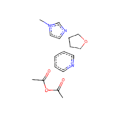 C1CCOC1.CC(=O)OC(C)=O.Cn1ccnc1.c1ccncc1